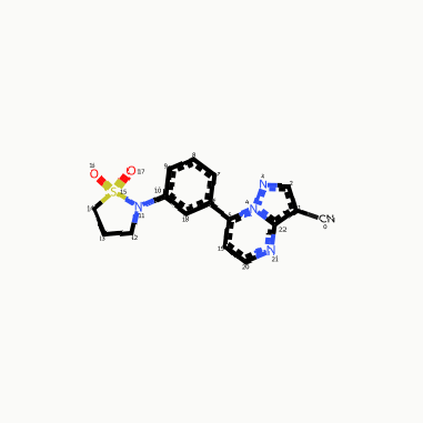 N#Cc1cnn2c(-c3cccc(N4CCCS4(=O)=O)c3)ccnc12